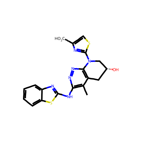 Cc1c(Nc2nc3ccccc3s2)nnc2c1C[C@@H](O)CN2c1nc(C(=O)O)cs1